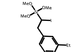 CCc1cccc(CC(I)[Si](OC)(OC)OC)c1